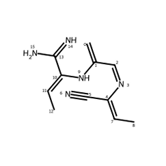 C=C(/C=N\C(C#N)=C/C)N/C(=C\C)C(=N)N